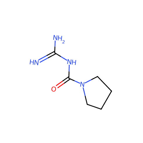 N=C(N)NC(=O)N1CCCC1